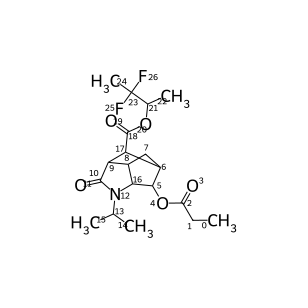 CCC(=O)OC1C2CC3C(C(=O)N(C(C)C)C31)C2C(=O)OC(C)C(C)(F)F